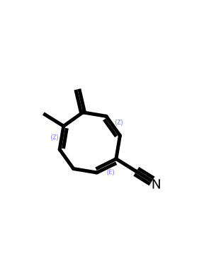 C=C1/C=C\C(C#N)=C/C/C=C\1C